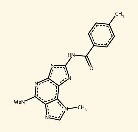 CNc1nc2sc(NC(=O)c3ccc(C)cc3)nc2c2c1ncn2C